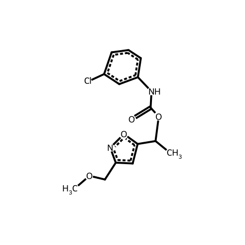 COCc1cc(C(C)OC(=O)Nc2cccc(Cl)c2)on1